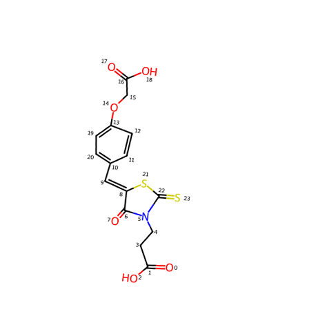 O=C(O)CCN1C(=O)/C(=C/c2ccc(OCC(=O)O)cc2)SC1=S